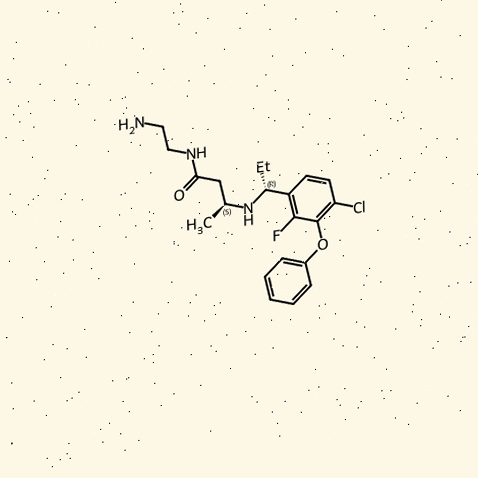 CC[C@@H](N[C@@H](C)CC(=O)NCCN)c1ccc(Cl)c(Oc2ccccc2)c1F